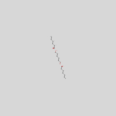 CCCCCCC(=O)OCCCCCCOC(=O)CCCCCC